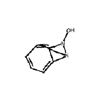 On1c2c3cccc2n31